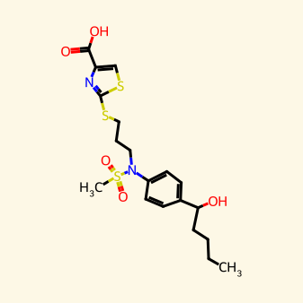 CCCCC(O)c1ccc(N(CCCSc2nc(C(=O)O)cs2)S(C)(=O)=O)cc1